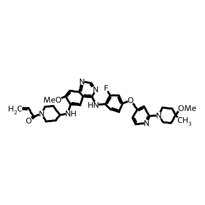 C=CC(=O)N1CCC(Nc2cc3c(Nc4ccc(Oc5ccnc(N6CCC(C)(OC)CC6)c5)cc4F)ncnc3cc2OC)CC1